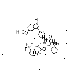 COc1ccc2[nH]cc(C3=CCN(N(C(C)=O)[C@H](Cc4c[nH]c5ccccc45)CN(Cc4ccccc4C(F)(F)F)C(C)=O)CC3)c2c1